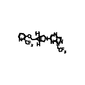 FC(F)(F)Cn1ncc2ncc(N3C[C@@H]4C(COc5cccnc5C(F)(F)F)[C@@H]4C3)nc21